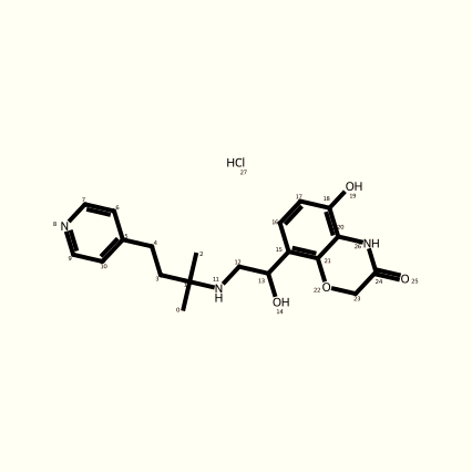 CC(C)(CCc1ccncc1)NCC(O)c1ccc(O)c2c1OCC(=O)N2.Cl